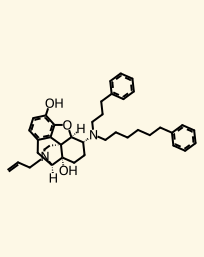 C=CCN1CC[C@]23c4c5ccc(O)c4O[C@H]2[C@H](N(CCCCCCc2ccccc2)CCCc2ccccc2)CC[C@@]3(O)[C@H]1C5